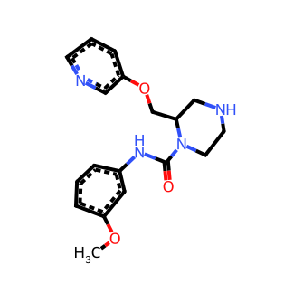 COc1cccc(NC(=O)N2CCNCC2COc2cccnc2)c1